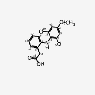 COc1cc(Cl)c(Nc2ccccc2CC(=O)O)c(Cl)c1